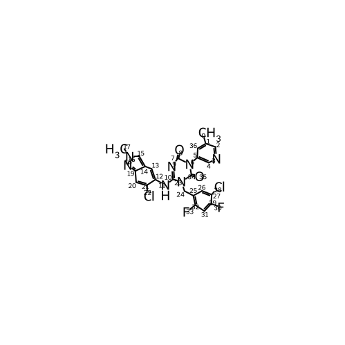 Cc1cncc(-n2c(=O)nc(Nc3cc4cn(C)nc4cc3Cl)n(Cc3cc(Cl)c(F)cc3F)c2=O)c1